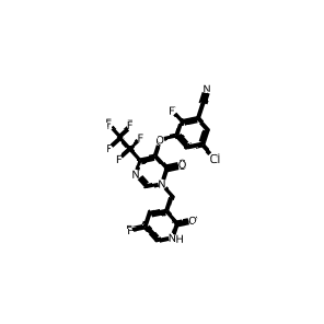 N#Cc1cc(Cl)cc(Oc2c(C(F)(F)C(F)(F)F)ncn(Cc3cc(F)c[nH]c3=O)c2=O)c1F